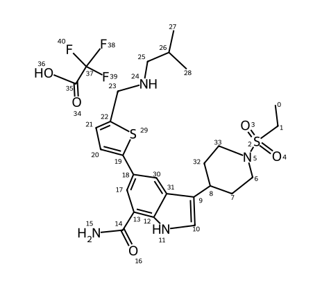 CCS(=O)(=O)N1CCC(c2c[nH]c3c(C(N)=O)cc(-c4ccc(CNCC(C)C)s4)cc23)CC1.O=C(O)C(F)(F)F